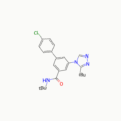 CC(C)(C)NC(=O)c1cc(-c2ccc(Cl)cc2)cc(-n2cnnc2C(C)(C)C)c1